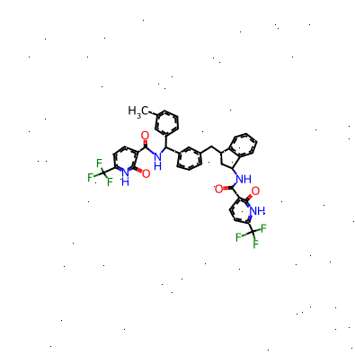 Cc1cccc(C(NC(=O)c2ccc(C(F)(F)F)[nH]c2=O)c2cccc(CC3CC(NC(=O)c4ccc(C(F)(F)F)[nH]c4=O)c4ccccc43)c2)c1